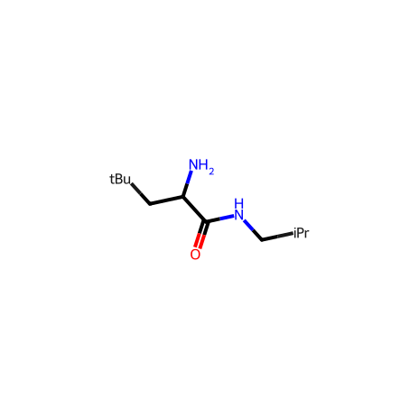 CC(C)CNC(=O)C(N)CC(C)(C)C